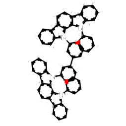 c1ccc(-n2c3ccccc3c3ccc4c5ccccc5n(-c5cccc(-c6cccc(-n7c8ccccc8c8ccc9c%10ccccc%10n(-c%10ccccc%10)c9c87)c6)c5)c4c32)cc1